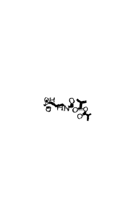 CC(C)C(=O)O[C@@H](OC(=O)NCCCP(C)(=O)O)C(C)C